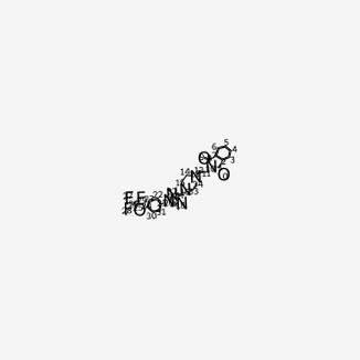 O=C1c2ccccc2C(=O)N1CCN1CCN(c2ncn(-c3ccc(OC(F)(F)F)cc3)n2)CC1